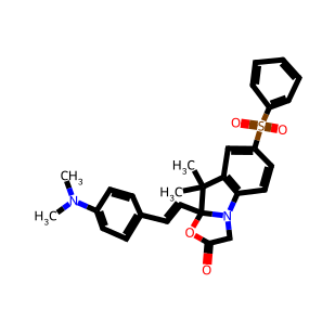 CN(C)c1ccc(C=CC23OC(=O)CN2c2ccc(S(=O)(=O)c4ccccc4)cc2C3(C)C)cc1